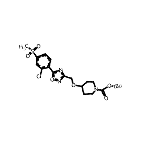 CC(C)(C)OC(=O)N1CCC(OCc2noc(-c3ccc(S(C)(=O)=O)cc3Cl)n2)CC1